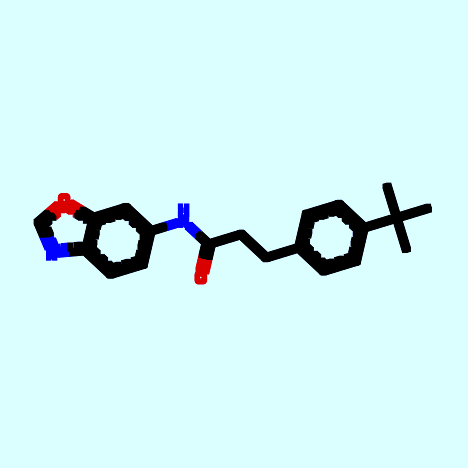 CC(C)(C)c1ccc(CCC(=O)Nc2ccc3ncoc3c2)cc1